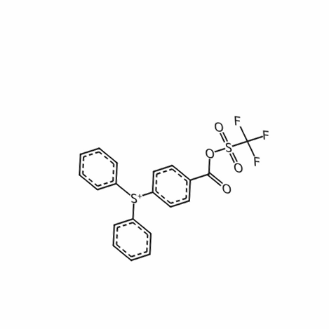 O=C(OS(=O)(=O)C(F)(F)F)c1ccc([S+](c2ccccc2)c2ccccc2)cc1